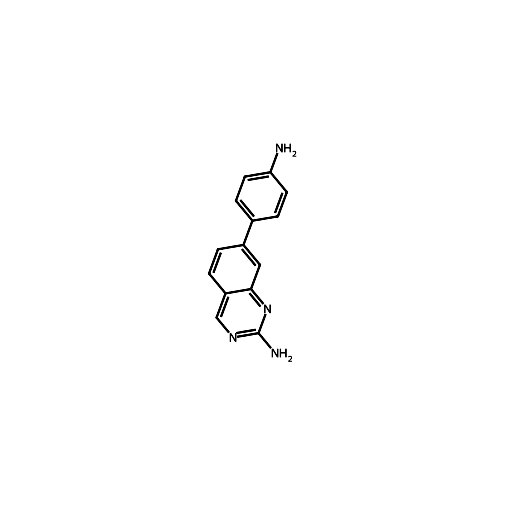 Nc1ccc(-c2ccc3cnc(N)nc3c2)cc1